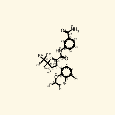 C[C@H]1[C@@H](c2ccc(F)c(F)c2OC(F)F)[C@H](C(=O)Nc2cccc(C(N)=O)c2)O[C@@]1(C)C(F)(F)F